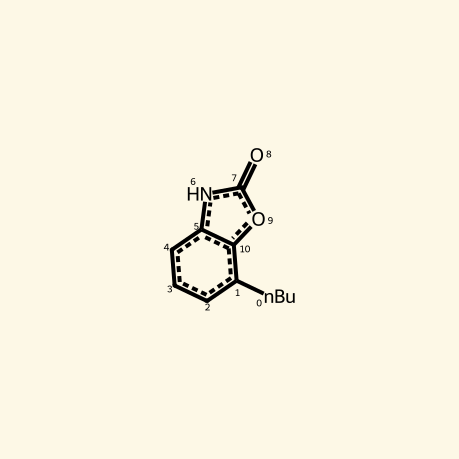 [CH2]CCCc1cccc2[nH]c(=O)oc12